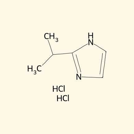 CC(C)c1ncc[nH]1.Cl.Cl